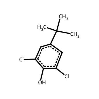 CC(C)(C)c1cc(Cl)c(O)c(Cl)c1